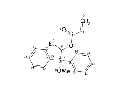 C=CC(=O)OC(CC)[Si](OC)(c1ccccc1)c1ccccc1